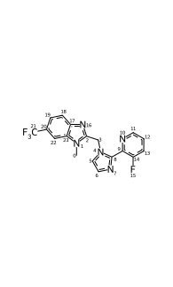 Cn1c(Cn2ccnc2-c2ncccc2F)nc2ccc(C(F)(F)F)cc21